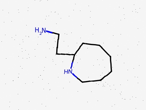 NCCC1CCCCCCN1